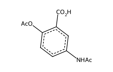 CC(=O)Nc1ccc(OC(C)=O)c(C(=O)O)c1